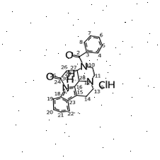 Cl.O=C(c1ccccc1)N1CCN2CCc3c4n(c5ccccc35)C(=O)C[C@@H]1[C@H]42